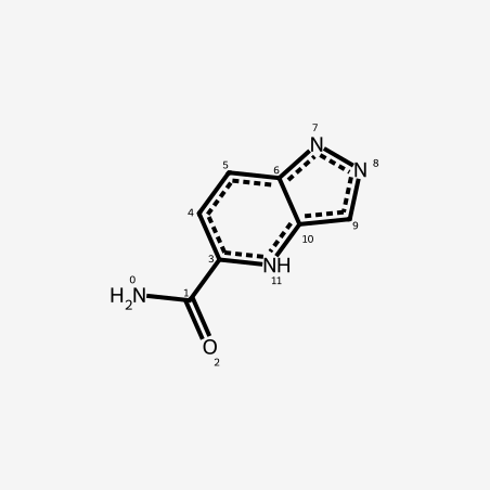 NC(=O)c1ccc2nncc-2[nH]1